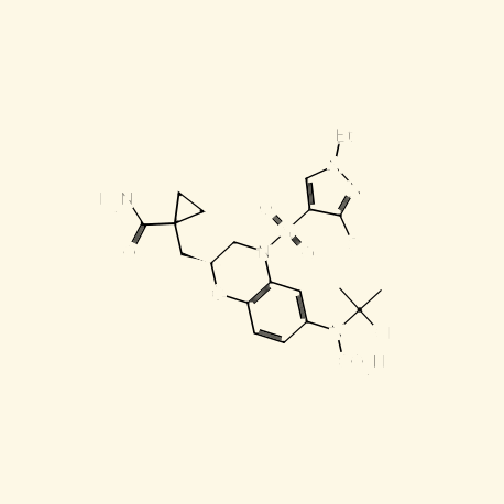 CCn1cc(S(=O)(=O)N2C[C@H](CC3(C(N)=O)CC3)Oc3ccc(N(C(=O)O)C(C)(C)C(F)(F)F)cc32)c(Cl)n1